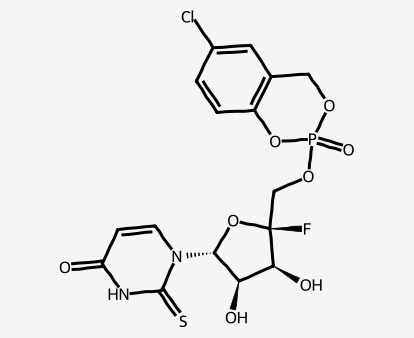 O=c1ccn([C@@H]2O[C@](F)(COP3(=O)OCc4cc(Cl)ccc4O3)[C@@H](O)[C@H]2O)c(=S)[nH]1